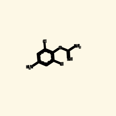 N=C(N)Oc1c(Cl)cc(N)cc1Cl